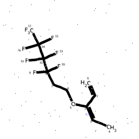 C=C/C(=C\C)OCCC(F)(F)C(F)(F)C(F)(F)C(F)(F)F